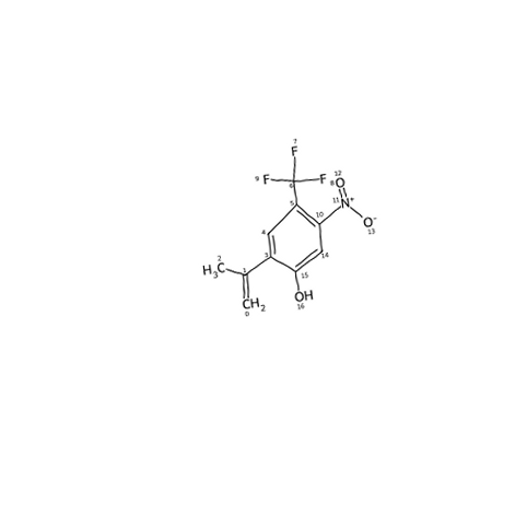 C=C(C)c1cc(C(F)(F)F)c([N+](=O)[O-])cc1O